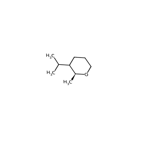 CC(C)C1CCCO[C@H]1C